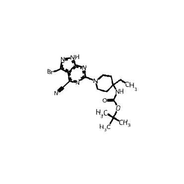 CCC1(NC(=O)OC(C)(C)C)CCN(c2nc(C#N)c3c(Br)n[nH]c3n2)CC1